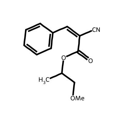 COCC(C)OC(=O)C(C#N)=Cc1ccccc1